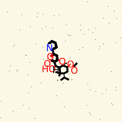 [CH2]C([CH2])[C@@H]1C[C@H](OC(C)=O)[C@@]2(C)Oc3cc(-c4ccccn4)oc(=O)c3[C@H](O)[C@@H]2C1(C)C